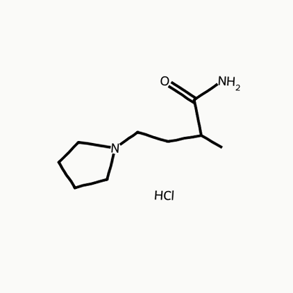 CC(CCN1CCCC1)C(N)=O.Cl